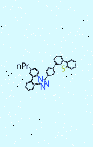 CCCc1ccc2c(c1)c1ccccc1c1nnc(-c3ccc(-c4cccc5c4sc4ccccc45)cc3)n21